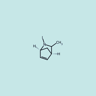 CC1[C@H]2C=C[C@H](C2)N1I